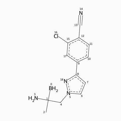 BC(C)(N)Cn1ccc(-c2ccc(C#N)c(Cl)c2)n1